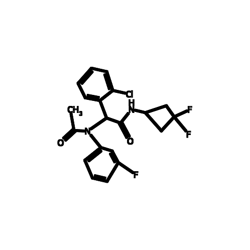 CC(=O)N(c1cccc(F)c1)C(C(=O)NC1CC(F)(F)C1)c1ccccc1Cl